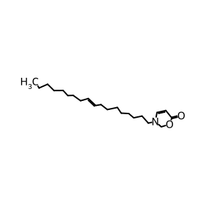 CCCCCCCCC=CCCCCCCCCN1C=CC(=O)OC1